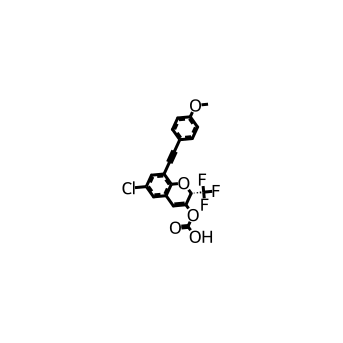 COc1ccc(C#Cc2cc(Cl)cc3c2O[C@H](C(F)(F)F)C(OC(=O)O)=C3)cc1